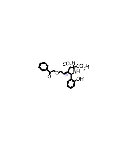 O=C(COC/C=C1\CC(C(=O)O)(C(=O)O)NC1c1ccccc1O)c1ccccc1